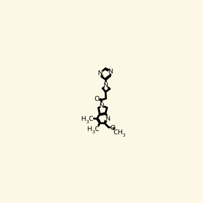 COCc1nc2c(c(C)c1C)CN(C(=O)CC1CN(c3cncnc3)C1)C2